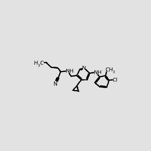 CCCCC(C#N)NCc1cnc(Nc2cccc(Cl)c2C)cc1C1CC1